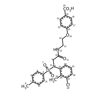 Cc1ccc(S(=O)(=O)N(CC(=O)NCCOc2ccc(C(=O)O)cc2)c2cccc(Cl)c2C)cc1